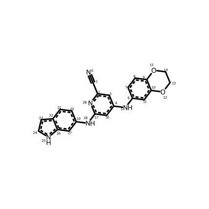 N#Cc1cc(Nc2ccc3c(c2)OCCO3)cc(Nc2ccc3cc[nH]c3c2)n1